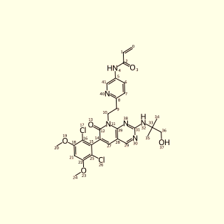 C=CC(=O)Nc1ccc(CCn2c(=O)c(-c3c(Cl)c(OC)cc(OC)c3Cl)cc3cnc(NC(C)(C)CO)nc32)nc1